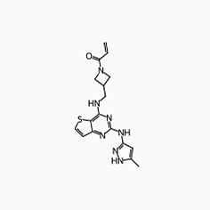 C=CC(=O)N1CC(CNc2nc(Nc3cc(C)[nH]n3)nc3ccsc23)C1